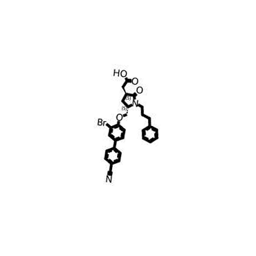 N#Cc1ccc(-c2ccc(OC[C@@H]3C[C@@H](CC(=O)O)C(=O)N3CCCc3ccccc3)c(Br)c2)cc1